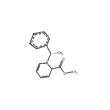 COC(=O)C1C=CC=CN1[C@@H](C)c1ccccc1